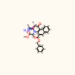 COC(=O)[C@H](C)N(C(=O)[C@H](C)N)c1c(C(=O)OCc2ccccc2)cc2ccccc2c1C(=O)[C@@H](C)N